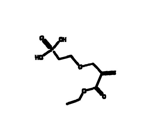 C=C(COCCP(=O)(O)O)C(=O)OCC